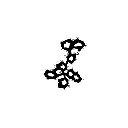 c1ccc(C2(c3ccc4ccccc4c3)c3ccccc3-c3ccc(-c4ccc5c(c4)-c4cccc6cccc(c46)S5)cc32)cc1